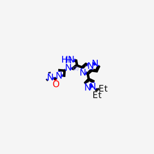 CCC(CC)n1cc(-c2nc(/C(C=N)=C/NC3CN(C(=O)N(C)C)C3)cn3nccc23)cn1